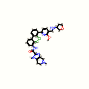 COc1nc(-c2cccc(-c3cccc(NC(=O)c4nc5c(n4C)CCN(C)C5)c3Cl)c2Cl)ccc1CNC1CCOC1